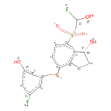 O=S(=O)(c1ccc(Sc2cc(O)cc(F)c2)c2c1[C@H](O)CC2)C(O)F